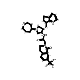 O=C(CN1CCc2ccc(C(F)(F)F)cc2C1=O)NC1CN(C2CCCOCC2)C[C@@H]1CC1CCc2cccnc21